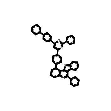 c1ccc(-c2ccc(-c3cc(-c4ccc(-c5cccc6nc(-c7ccccc7)c7c8ccccc8sc7c56)cc4)nc(-c4ccccc4)n3)cc2)cc1